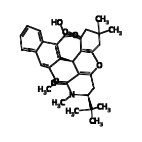 COc1cc2ccccc2c(C(=O)O)c1[C@H]1C2=C(CC(C)(C)CC2=O)OC2=C1C(=O)N(C)[C@H](C(C)(C)C)C2